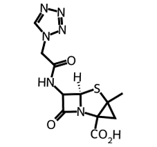 CC12CC1(C(=O)O)N1C(=O)C(NC(=O)Cn3cnnn3)[C@H]1S2